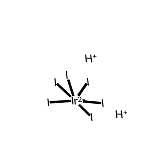 [H+].[H+].[I][Ir-2]([I])([I])([I])([I])[I]